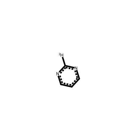 [2H]c1ncccn1